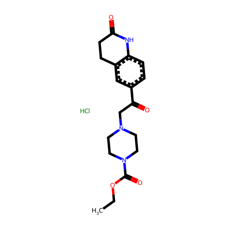 CCOC(=O)N1CCN(CC(=O)c2ccc3c(c2)CCC(=O)N3)CC1.Cl